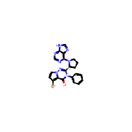 O=c1c2c(Br)ccn2nc([C@@H]2CCCN2c2ncnc3[nH]cnc23)n1-c1ccccc1